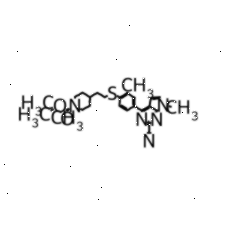 Cc1cc(-c2nc(C#N)nc3c2ccn3C)ccc1SCCC1CCN(C(=O)OC(C)(C)C)CC1